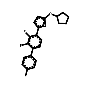 Cc1ccc(-c2ccc(-c3ccc(OC4CCCC4)s3)c(F)c2F)cc1